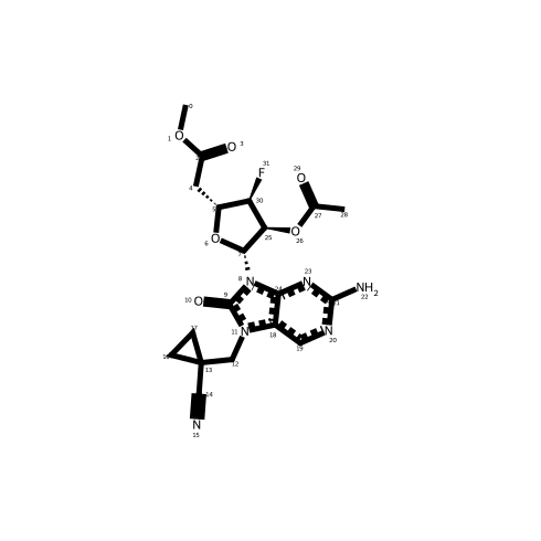 COC(=O)C[C@H]1O[C@@H](n2c(=O)n(CC3(C#N)CC3)c3cnc(N)nc32)[C@H](OC(C)=O)[C@@H]1F